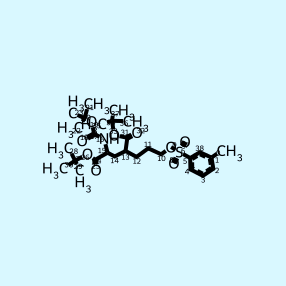 Cc1cccc(S(=O)(=O)OCCCC(CC(NC(=O)OC(C)(C)C)C(=O)OC(C)(C)C)C(=O)OC(C)(C)C)c1